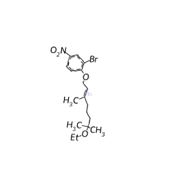 CCOC(C)(C)CCC/C(C)=C/COc1ccc([N+](=O)[O-])cc1Br